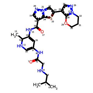 CC(C)CNCC(=O)NC1=CNC(C)C(NC(=O)c2cnn3cc(-c4cnn5c4OCCC5)sc23)=C1